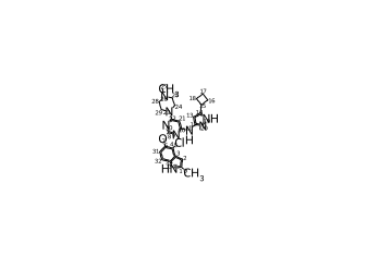 Cc1cc2c(Cl)c(Oc3nc(Nc4cc(C5CCC5)[nH]n4)cc(N4CCN(C)CC4)n3)ccc2[nH]1